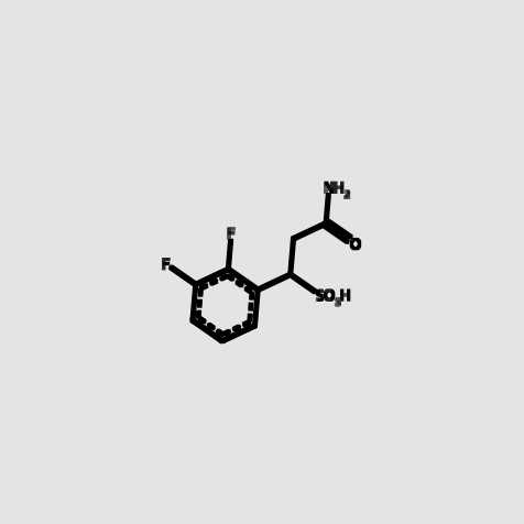 NC(=O)CC(c1cccc(F)c1F)S(=O)(=O)O